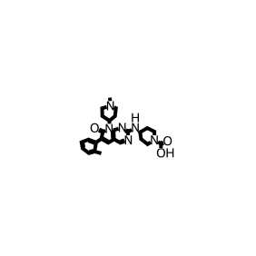 Cc1ccccc1-c1cc2cnc(NC3CCN(C(=O)O)CC3)nc2n(C2CCN(C)CC2)c1=O